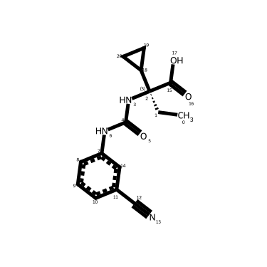 CC[C@@](NC(=O)Nc1cccc(C#N)c1)(C(=O)O)C1CC1